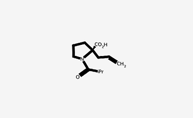 C=CC[C@@]1(C(=O)O)CCCN1C(=O)C(C)C